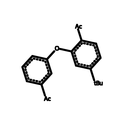 CC(=O)c1cccc(Oc2cc(C(C)(C)C)ccc2C(C)=O)c1